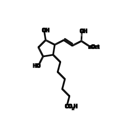 CCCCCCCCC(O)C=CC1C(O)CC(O)C1CCCCCC(=O)O